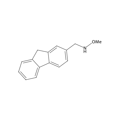 CONCc1ccc2c(c1)Cc1ccccc1-2